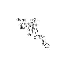 CCCC(NC(=O)[C@@H]1[C@H]2[C@@H](CN1C(=O)[C@@H](NC(=O)NC(C)(C)C)C(C)(C)C)C2(Cl)Cl)C(=O)C(=O)NCC(=O)NCc1ccccc1